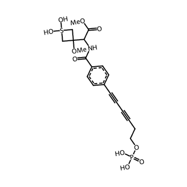 COC(=O)C(NC(=O)c1ccc(C#CC#CCCOP(=O)(O)O)cc1)C1(OC)CS(O)(O)C1